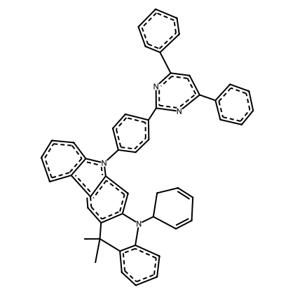 CC1(C)c2ccccc2N(C2C=CC=CC2)c2cc3c(cc21)c1ccccc1n3-c1ccc(-c2nc(-c3ccccc3)cc(-c3ccccc3)n2)cc1